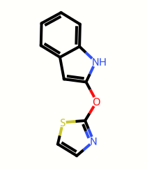 c1ccc2[nH]c(Oc3nccs3)cc2c1